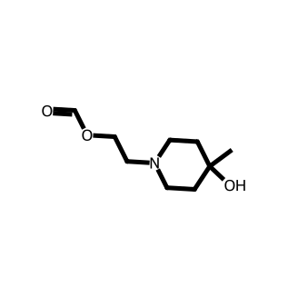 CC1(O)CCN(CCOC=O)CC1